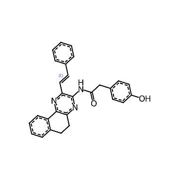 O=C(Cc1ccc(O)cc1)Nc1nc2c(nc1/C=C/c1ccccc1)-c1ccccc1CC2